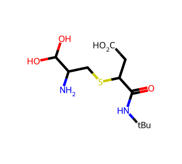 CC(C)(C)NC(=O)C(CC(=O)O)SCC(N)C(O)O